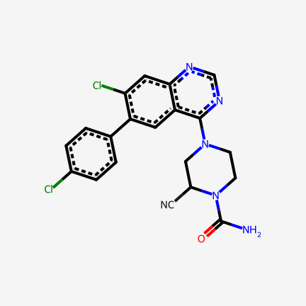 N#CC1CN(c2ncnc3cc(Cl)c(-c4ccc(Cl)cc4)cc23)CCN1C(N)=O